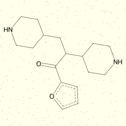 O=C(c1ccco1)C(CC1CCNCC1)C1CCNCC1